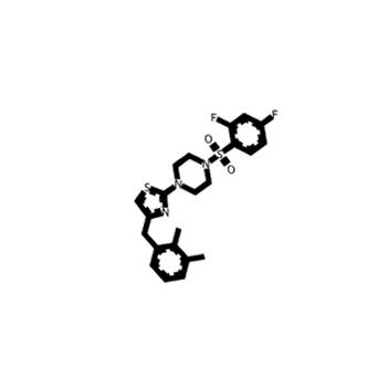 Cc1cccc(Cc2csc(N3CCN(S(=O)(=O)c4ccc(F)cc4F)CC3)n2)c1C